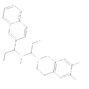 CCC(c1ccc2ccccc2c1)N(C)C(CC)N1CCc2cc(C)c(C)cc2C1